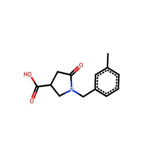 Cc1cccc(CN2CC(C(=O)O)CC2=O)c1